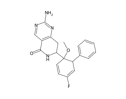 COC1(C2Cc3nc(N)ncc3C(=O)N2)C=CC(F)=CC1c1ccccc1